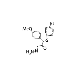 CCc1ccc(SC(C(=O)C=NN)c2ccc(OC)cc2)cc1